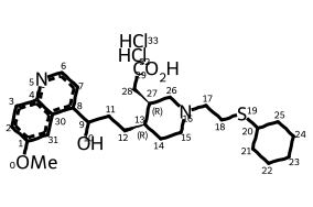 COc1ccc2nccc(C(O)CC[C@@H]3CCN(CCSC4CCCCC4)C[C@@H]3CC(=O)O)c2c1.Cl.Cl